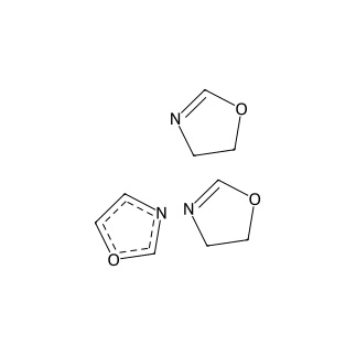 C1=NCCO1.C1=NCCO1.c1cocn1